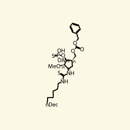 CCCCCCCCCCCCCCCNC(=S)N[C@@H]1C[C@H](COC(=O)OCc2ccccc2)C(OP(O)(=S)OC)[C@@H]1OC